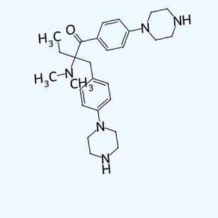 CCC(Cc1ccc(N2CCNCC2)cc1)(C(=O)c1ccc(N2CCNCC2)cc1)N(C)C